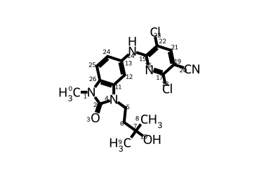 Cn1c(=O)n(CCC(C)(C)O)c2cc(Nc3nc(Cl)c(C#N)cc3Cl)ccc21